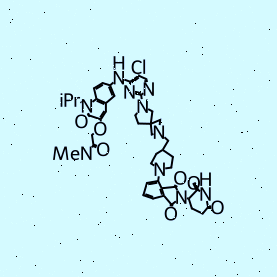 CNC(=O)COc1cc2cc(Nc3nc(N4CCC5(CN(CC6CCN(c7cccc8c7C(=O)N(C7CCC(=O)NC7=O)C8=O)CC6)C5)C4)ncc3Cl)ccc2n(C(C)C)c1=O